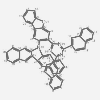 c1ccc2cc(-c3nc(-c4ccc5ccccc5c4)nc(-c4cc5oc6ccccc6c5cc4-n4c5cc6ccccc6cc5c5cc6ccccc6cc54)n3)ccc2c1